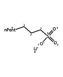 CCCCCCCCS(=O)(=O)[O-].[Li+]